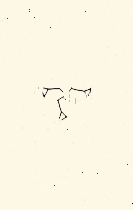 C[Si](CC1CO1)(CC1CO1)CC1CO1